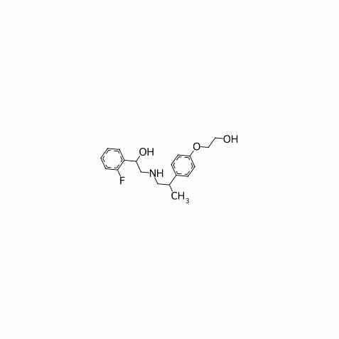 CC(CNCC(O)c1ccccc1F)c1ccc(OCCO)cc1